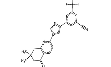 CC1(C)CC(=O)c2ccc(-n3cnc(-c4cc(C#N)cc(C(F)(F)F)c4)c3)nc2C1